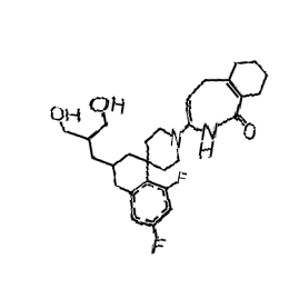 O=C1NC(N2CCC3(CC2)CC(CC(CO)CO)Cc2cc(F)cc(F)c23)=CCC2=C1CCCC2